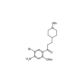 CCCCN1CCC(CCC(=O)c2cc(Br)c(N)cc2OC)CC1